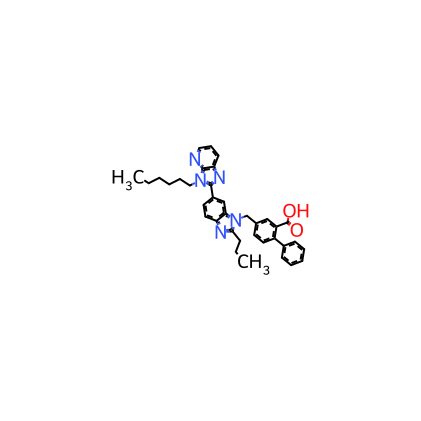 CCCCCCn1c(-c2ccc3nc(CCC)n(Cc4ccc(-c5ccccc5)c(C(=O)O)c4)c3c2)nc2cccnc21